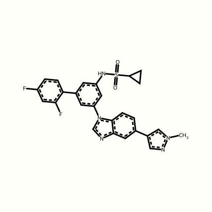 Cn1cc(-c2ccc3c(c2)ncn3-c2cc(NS(=O)(=O)C3CC3)cc(-c3ccc(F)cc3F)c2)cn1